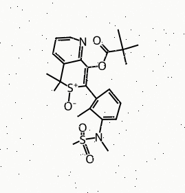 Cc1c(C2=C(OC(=O)C(C)(C)C)c3ncccc3C(C)(C)[S+]2[O-])cccc1N(C)S(C)(=O)=O